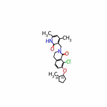 Cc1cc(C)c(CN2CCc3ccc(O[C@H]4CCC[C@H]4C)c(Cl)c3C2=O)c(=O)[nH]1